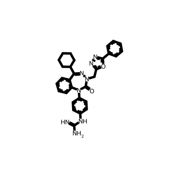 N=C(N)Nc1ccc(N2C(=O)N(Cc3nnc(-c4ccccc4)o3)N=C(C3CCCCC3)c3ccccc32)cc1